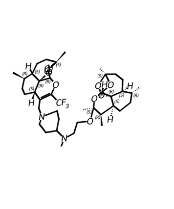 C[C@@H]1CC[C@H]2[C@@H](C)[C@@](C)(OCCN(C)C3CCN(CC4=C(C(F)(F)F)O[C@@H]5O[C@]6(C)CC[C@H]7[C@H](C)CC[C@@H]4[C@@]57OO6)CC3)O[C@@H]3O[C@]4(C)CC[C@@H]1[C@]32OO4